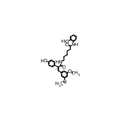 COc1cc(/C=C(\C(=O)NCCCCCC(=O)Nc2ccccc2O)c2ccc(O)cc2)cc(OC)c1